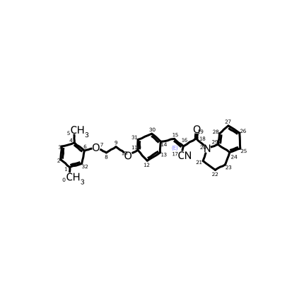 Cc1ccc(C)c(OCCOc2ccc(/C=C(\C#N)C(=O)N3CCCc4ccccc43)cc2)c1